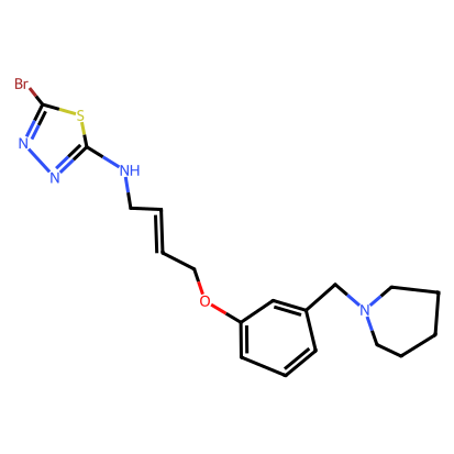 Brc1nnc(NC/C=C/COc2cccc(CN3CCCCC3)c2)s1